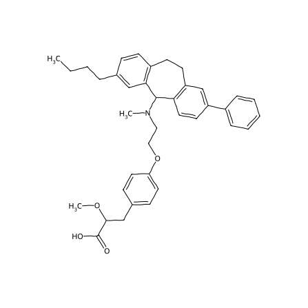 CCCCc1ccc2c(c1)C(N(C)CCOc1ccc(CC(OC)C(=O)O)cc1)c1ccc(-c3ccccc3)cc1CC2